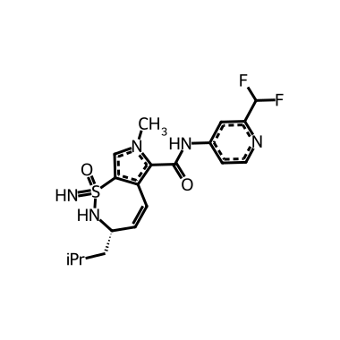 CC(C)C[C@H]1C=Cc2c(cn(C)c2C(=O)Nc2ccnc(C(F)F)c2)S(=N)(=O)N1